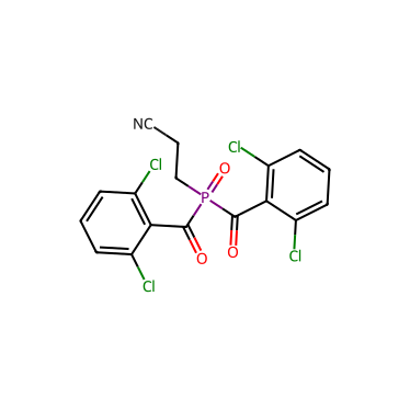 N#CCCP(=O)(C(=O)c1c(Cl)cccc1Cl)C(=O)c1c(Cl)cccc1Cl